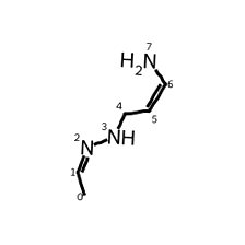 C/C=N\NC/C=C\N